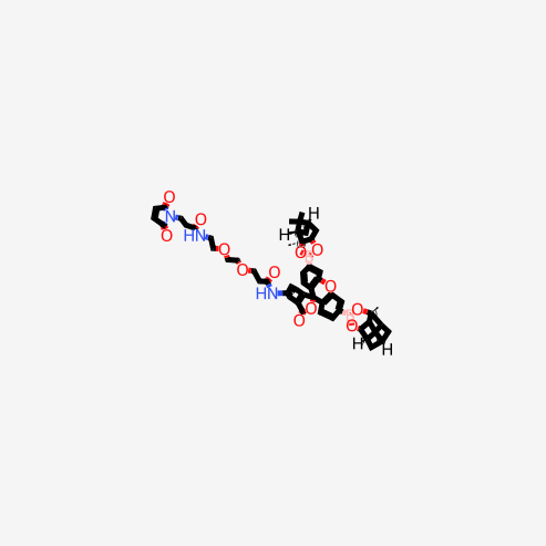 CC1(C)[C@@H]2CC3OB(c4ccc5c(c4)Oc4cc(B6OC7C8C9%10C(C[C@H]9C[C@@H]7%10)[C@]8(C)O6)ccc4C54OC(=O)c5cc(NC(=O)CCOCCOCCNC(=O)CCN6C(=O)C=CC6=O)ccc54)O[C@@]3(C)[C@H]1C2